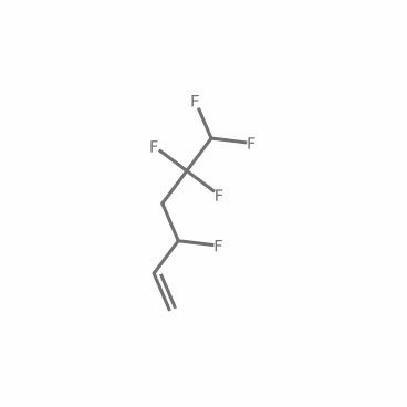 C=CC(F)CC(F)(F)C(F)F